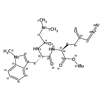 CN(C)CC(=O)N[C@@H](Cc1cn(C)c2ccccc12)C(=O)N[C@@H](CCC(=O)C=[N+]=[N-])C(=O)OC(C)(C)C